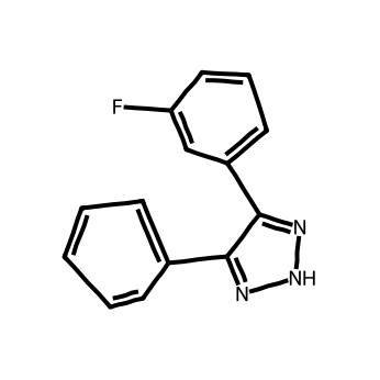 Fc1cccc(-c2n[nH]nc2-c2ccccc2)c1